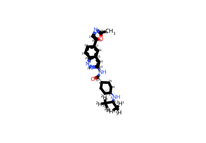 [2H]C([2H])([2H])C(N[C@H]1CC[C@H](C(=O)Nc2cc3cc(-c4cnc(C)o4)ccc3nn2)CC1)C([2H])([2H])[2H]